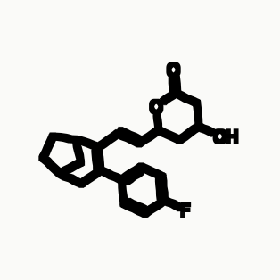 O=C1CC(O)CC(C=CC2=C(c3ccc(F)cc3)CC3CCC2C3)O1